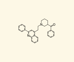 O=C(c1ccccc1)C1CCCN(CCc2cc(-c3ccccc3)nc3ccccc23)C1